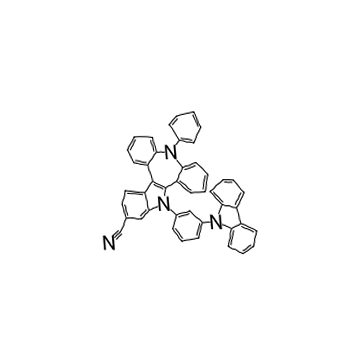 N#Cc1ccc2c3c(n(-c4cccc(-n5c6ccccc6c6ccccc65)c4)c2c1)-c1ccccc1N(c1ccccc1)c1ccccc1-3